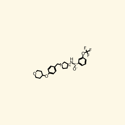 [O-][S+](N[C@@H]1CCN(Cc2ccc(OC3CCOCC3)cc2)C1)c1cccc(OC(F)(F)F)c1